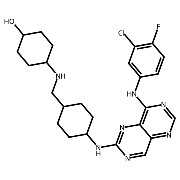 OC1CCC(NCC2CCC(Nc3ncc4ncnc(Nc5ccc(F)c(Cl)c5)c4n3)CC2)CC1